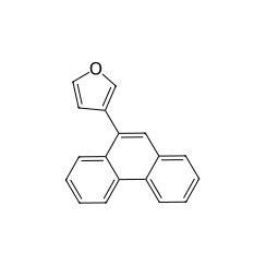 c1ccc2c(c1)cc(-c1ccoc1)c1ccccc12